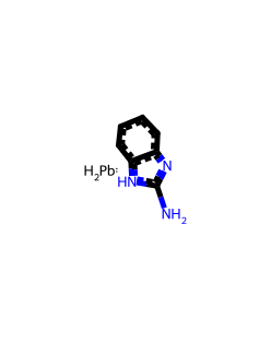 Nc1nc2ccccc2[nH]1.[PbH2]